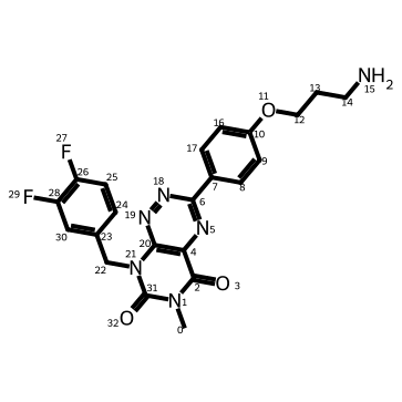 Cn1c(=O)c2nc(-c3ccc(OCCCN)cc3)nnc2n(Cc2ccc(F)c(F)c2)c1=O